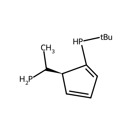 CC(P)[C@@H]1C=CC=C1PC(C)(C)C